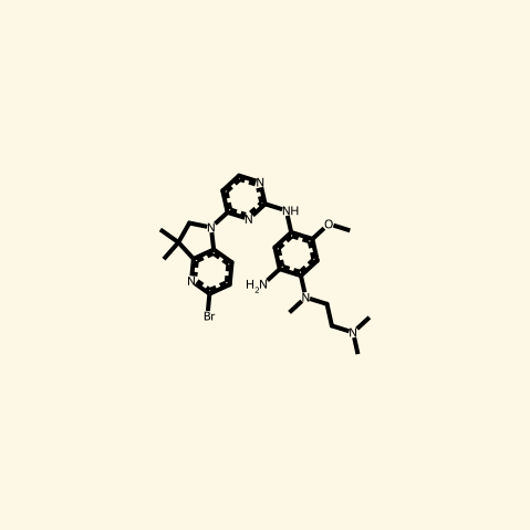 COc1cc(N(C)CCN(C)C)c(N)cc1Nc1nccc(N2CC(C)(C)c3nc(Br)ccc32)n1